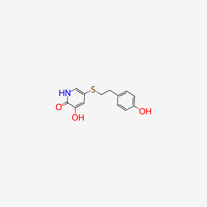 O=c1[nH]cc(SCCc2ccc(O)cc2)cc1O